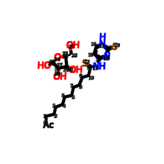 CC(=O)CCCCCCCCCCC(=S)Nc1cc[nH]c(=S)n1.OC[C@H]1OC(O)[C@@H](O)[C@@H]1O